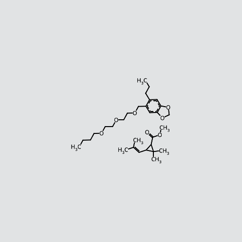 CCCCOCCOCCOCc1cc2c(cc1CCC)OCO2.COC(=O)C1C(C=C(C)C)C1(C)C